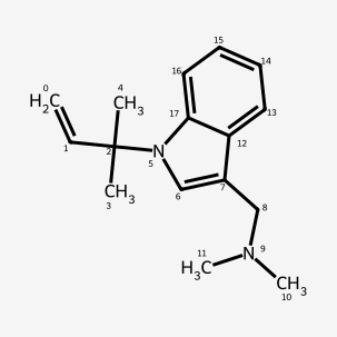 C=CC(C)(C)n1cc(CN(C)C)c2ccccc21